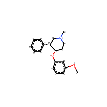 COc1cccc(O[C@@H]2CCN(C)C[C@H]2c2ccccc2)c1